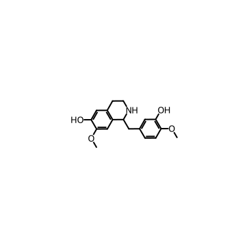 COc1ccc(CC2NCCc3cc(O)c(OC)cc32)cc1O